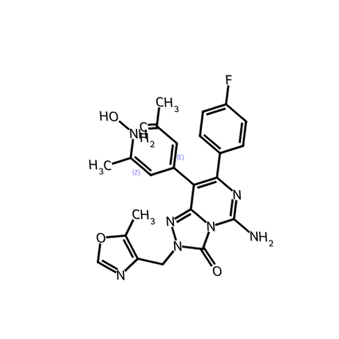 C=C(C)/C=C(\C=C(\C)NO)c1c(-c2ccc(F)cc2)nc(N)n2c(=O)n(Cc3ncoc3C)nc12